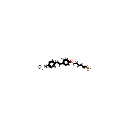 O=[N+]([O-])c1ccc(C=Cc2ccc(OCCCCCCBr)cc2)cc1